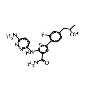 CC(O)Cc1ccc(-c2cc(C(N)=O)c(Nc3ccc(N)nn3)s2)c(F)c1